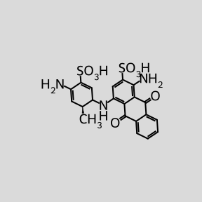 C[C@H]1C=C(N)C(S(=O)(=O)O)=CC1Nc1cc(S(=O)(=O)O)c(N)c2c1C(=O)c1ccccc1C2=O